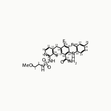 COCCNS(=O)(=O)Nc1nccc(Cc2cc(C(N)=O)c(Nc3ccc(C)cc3F)cc2F)c1F